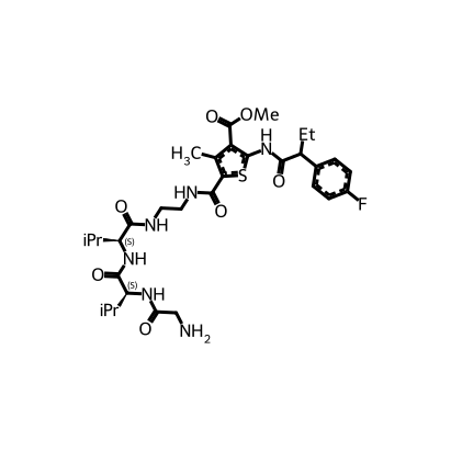 CCC(C(=O)Nc1sc(C(=O)NCCNC(=O)[C@@H](NC(=O)[C@@H](NC(=O)CN)C(C)C)C(C)C)c(C)c1C(=O)OC)c1ccc(F)cc1